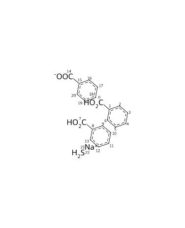 O=C(O)c1ccccc1.O=C(O)c1ccccc1.O=C([O-])c1ccccc1.S.[Na+]